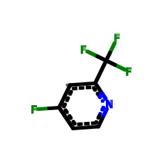 Fc1[c]c(C(F)(F)F)ncc1